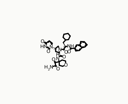 NC(=O)C(=O)C1(NC(=O)[C@@H]2C[C@H](n3ccc(=O)[nH]c3=O)CN2C(=O)[C@@H](CC2CCCCC2)NC(=O)c2ccc3ccccc3c2)CCOCC1